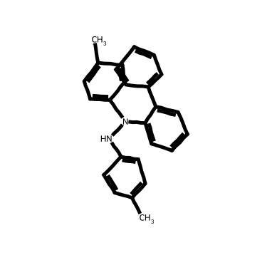 Cc1ccc(NN(c2ccc(C)cc2)c2ccccc2-c2ccccc2)cc1